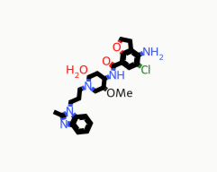 COC1CN(CCCn2c(C)nc3ccccc32)CCC1NC(=O)c1cc(Cl)c(N)c2c1OCC2.O